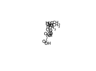 CC(Cc1ccc(C(C(=O)NCCCCC(=O)O)N2C(=O)C=CC2=O)cc1)N(C)C(=O)OC(C)(C)C